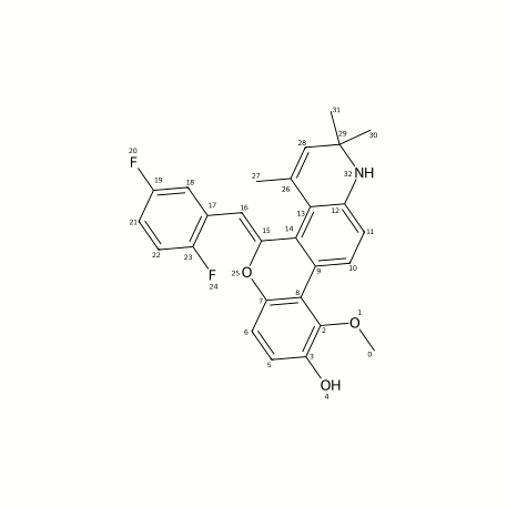 COc1c(O)ccc2c1-c1ccc3c(c1/C(=C/c1cc(F)ccc1F)O2)C(C)=CC(C)(C)N3